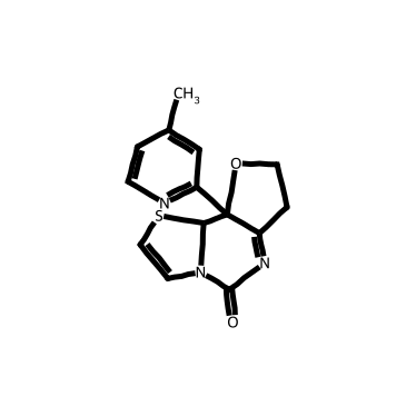 Cc1ccnc(C23OCCC2=NC(=O)N2C=CSC23)c1